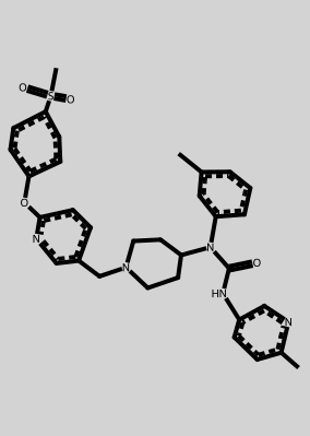 Cc1cccc(N(C(=O)Nc2ccc(C)nc2)C2CCN(Cc3ccc(Oc4ccc(S(C)(=O)=O)cc4)nc3)CC2)c1